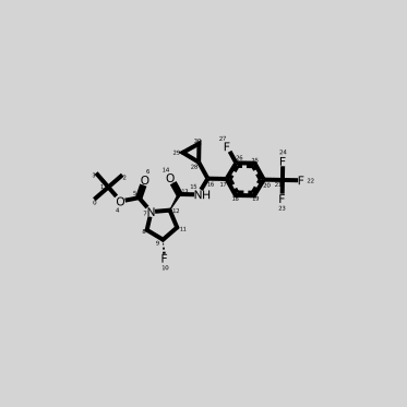 CC(C)(C)OC(=O)N1C[C@@H](F)C[C@@H]1C(=O)NC(c1ccc(C(F)(F)F)cc1F)C1CC1